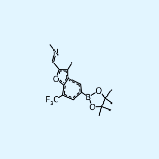 C/N=C/c1oc2c(C(F)(F)F)cc(B3OC(C)(C)C(C)(C)O3)cc2c1C